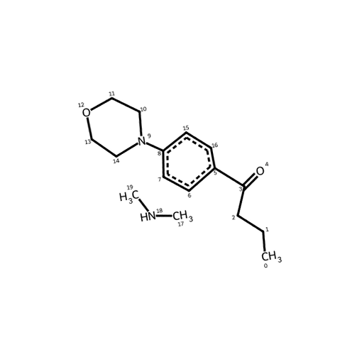 CCCC(=O)c1ccc(N2CCOCC2)cc1.CNC